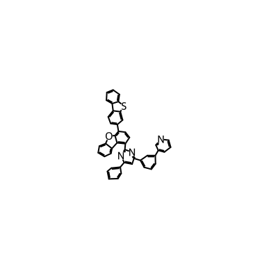 c1ccc(-c2cc(-c3cccc(-c4cccnc4)c3)nc(-c3ccc(-c4ccc5c(c4)sc4ccccc45)c4oc5ccccc5c34)n2)cc1